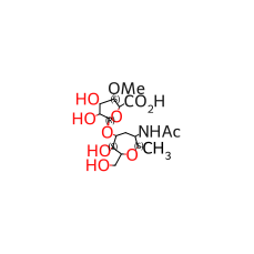 CO[C@@H]1C(C(=O)O)O[C@@H](OC2CC(NC(C)=O)[C@H](C)OC(CO)[C@H]2O)C(O)C1O